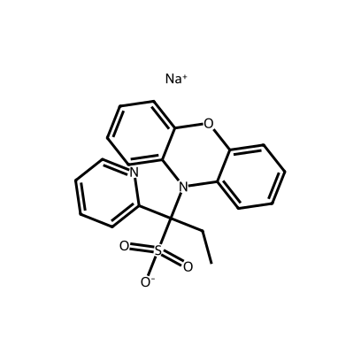 CCC(c1ccccn1)(N1c2ccccc2Oc2ccccc21)S(=O)(=O)[O-].[Na+]